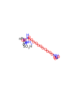 CCCN(OCCNC(=O)OCCOCCOCCOCCOCCOCCOCCOCCOCCOCCOCCNC(=O)CN1C(=O)C=CC1=O)C(=O)C1=Cc2ccc(S(=O)(=O)O)cc2N=C(N)C1